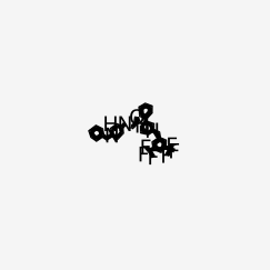 O=C(CNC1CCN(Cc2ccccc2)CC1)N1CCN(Cc2cc(C(F)(F)F)cc(C(F)(F)F)c2)CC1c1ccccc1